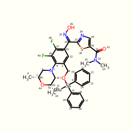 C[C@@H]1CN(c2c(CO[Si](c3ccccc3)(c3ccccc3)C(C)(C)C)cc(C(=NO)c3ncc(C(=O)N(C)C)s3)c(F)c2F)C[C@H](C)O1